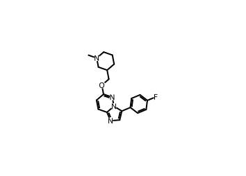 CN1CCCC(COc2ccc3ncc(-c4ccc(F)cc4)n3n2)C1